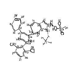 CC(C)(C)Cn1c(NOS(C)(=O)=O)nc2ccc(-c3[nH]c(-c4c(Cl)cccc4Cl)nc3-c3ccccc3)nc21